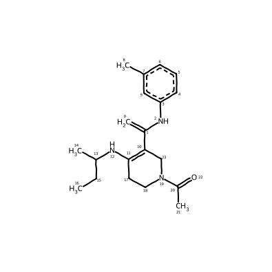 C=C(Nc1cccc(C)c1)C1=C(NC(C)CC)CCN(C(C)=O)C1